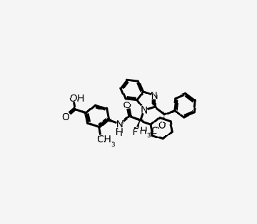 CO[C@@H](c1ccccc1)c1nc2ccccc2n1[C@@](F)(C(=O)Nc1ccc(C(=O)O)cc1C)C1CCCCC1